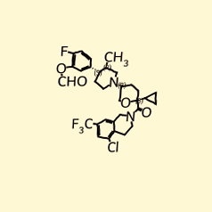 C[C@H]1CN([C@@H]2CC[C@@](C(=O)N3CCc4c(Cl)cc(C(F)(F)F)cc4C3)(C3CC3)OC2)CC[C@@H]1c1ccc(F)c(OC=O)c1